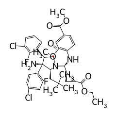 CCOC(=O)C1C[C@H]1[C@H](Nc1ccc(C(=O)OC)cc1OC)N1[C@@H](CC(C)(C)C)[C@](N)(c2ccc(Cl)cc2F)[C@@H](c2cccc(Cl)c2F)[C@@H]1C=O